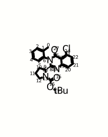 Cc1ccccc1-n1c([C@@H]2CCCN2C(=O)OC(C)(C)C)nc2cccc(Cl)c2c1=O